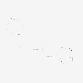 Cn1cc(/C=N/OS(=O)(=O)c2ccccc2)nn1